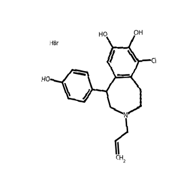 Br.C=CCN1CCc2c(cc(O)c(O)c2Cl)C(c2ccc(O)cc2)C1